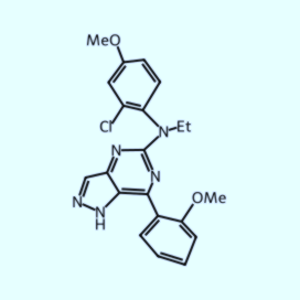 CCN(c1nc(-c2ccccc2OC)c2[nH]ncc2n1)c1ccc(OC)cc1Cl